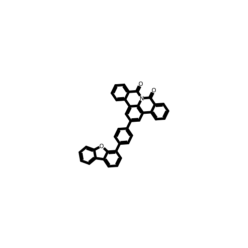 O=c1c2ccccc2c2cc(-c3ccc(-c4cccc5c4oc4ccccc45)cc3)cc3c4ccccc4c(=O)n1c23